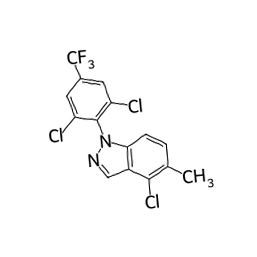 Cc1ccc2c(cnn2-c2c(Cl)cc(C(F)(F)F)cc2Cl)c1Cl